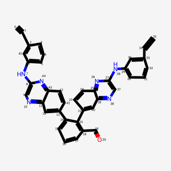 C#Cc1cccc(Nc2cnc3cc(-c4cccc(C=O)c4-c4ccc5nc(Nc6cccc(C#C)c6)cnc5c4)ccc3n2)c1